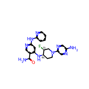 NC(=O)c1cnc(Nc2ccccn2)cc1N[C@@H]1CCN(c2cnc(N)cn2)C[C@@H]1F